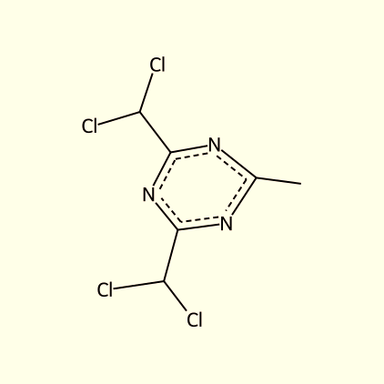 Cc1nc(C(Cl)Cl)nc(C(Cl)Cl)n1